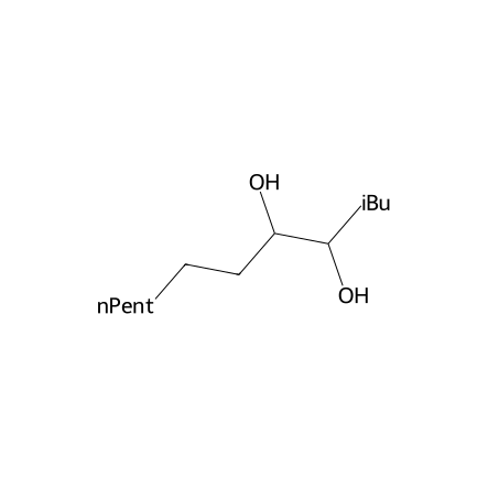 CCCCCCCC(O)C(O)C(C)CC